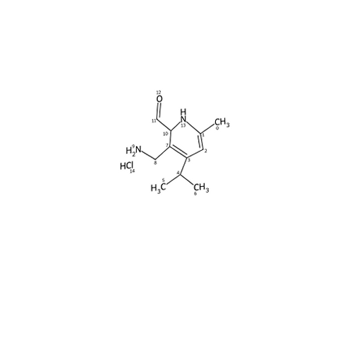 CC1=CC(C(C)C)=C(CN)C(C=O)N1.Cl